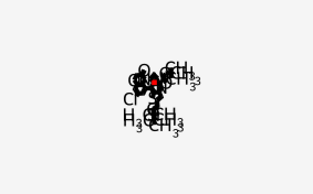 CC(C)(C)OC(=O)N1CC(N2C(=O)COc3cc(Cl)cc(-c4ccnc5cc(CO[Si](C)(C)C(C)(C)C)sc45)c32)C1